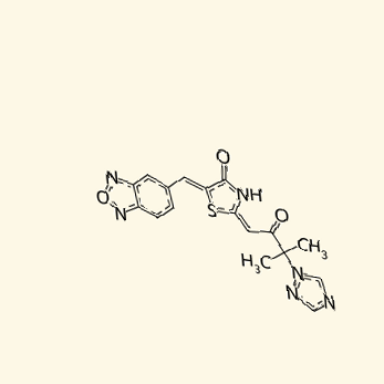 CC(C)(C(=O)/C=c1\[nH]c(=O)/c(=C/c2ccc3nonc3c2)s1)n1cncn1